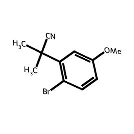 COc1ccc(Br)c(C(C)(C)C#N)c1